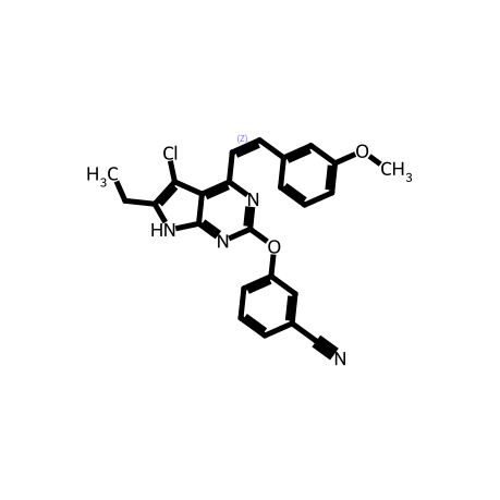 CCc1[nH]c2nc(Oc3cccc(C#N)c3)nc(/C=C\c3cccc(OC)c3)c2c1Cl